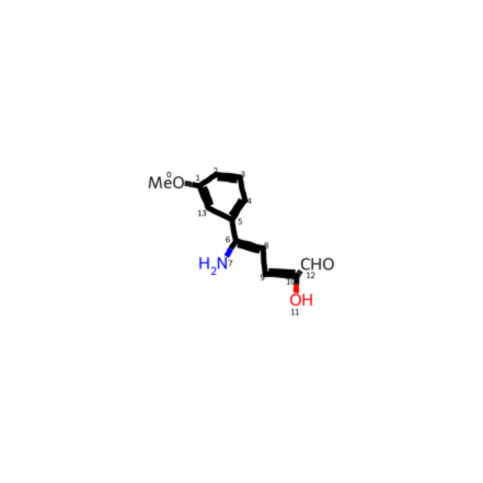 COc1cccc(/C(N)=C/C=C(/O)C=O)c1